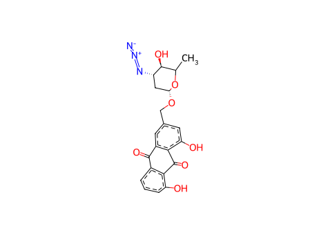 CC1O[C@H](OCc2cc(O)c3c(c2)C(=O)c2cccc(O)c2C3=O)C[C@H](N=[N+]=[N-])[C@H]1O